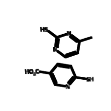 Cc1ccnc(S)n1.O=C(O)c1ccc(S)nc1